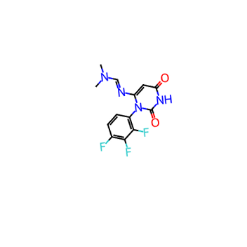 CN(C)C=Nc1cc(=O)[nH]c(=O)n1-c1ccc(F)c(F)c1F